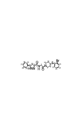 O=C(NCC(=O)N1CCC(Sc2ccccc2Br)CC1)C1=NNC(c2ccccc2)C1